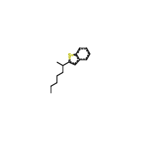 CCCCCC(C)c1cc2ccccc2s1